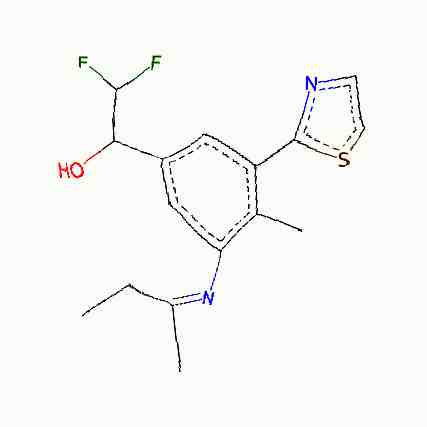 CC/C(C)=N\c1cc(C(O)C(F)F)cc(-c2nccs2)c1C